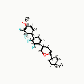 CCCC1CCC(C2=CCC(c3ccc(-c4ccc(OCC)c(F)c4F)c(F)c3F)CO2)CC1